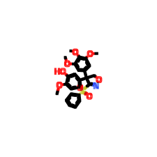 COc1ccc(C2(c3cc(OC)c(OC)c(OC)c3)CON=C2S(=O)(=O)c2ccccc2)cc1O